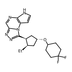 CC[C@@H]1C[C@@H](OC2CCC(F)(F)CC2)C[C@@H]1c1nnc2cnc3[nH]ccc3n12